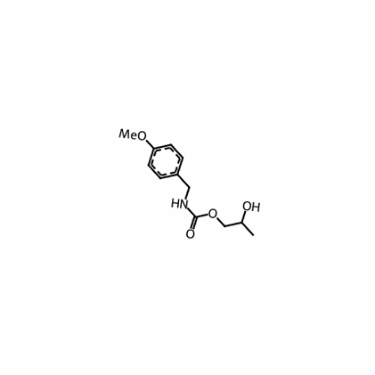 COc1ccc(CNC(=O)OCC(C)O)cc1